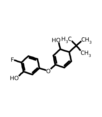 CC(C)(C)C1C=CC(Oc2ccc(F)c(O)c2)=CC1O